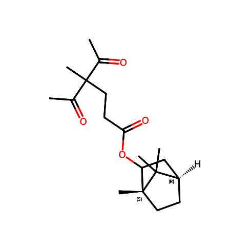 CC(=O)C(C)(CCC(=O)OC1C[C@H]2CC[C@@]1(C)C2(C)C)C(C)=O